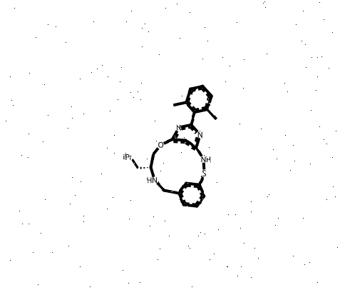 Cc1cccc(C)c1-c1nc2cc(n1)OC[C@@H](CC(C)C)NCc1cccc(c1)SN2